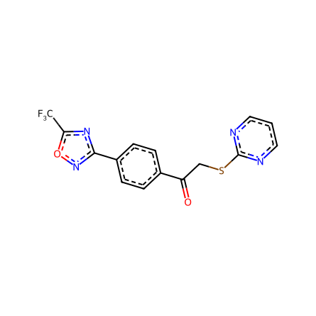 O=C(CSc1ncccn1)c1ccc(-c2noc(C(F)(F)F)n2)cc1